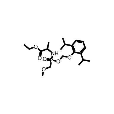 CCOC(=O)C(C)NP(=O)(COC)OCOc1c(C(C)C)cccc1C(C)C